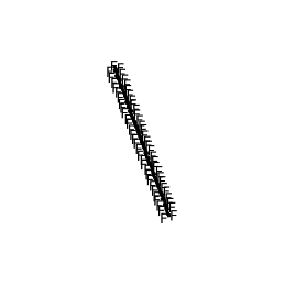 FC(F)C(F)(F)C(F)(F)C(F)(F)C(F)(F)C(F)(F)C(F)(F)C(F)(F)C(F)(F)C(F)(F)C(F)(F)C(F)(F)C(F)(F)C(F)(F)C(F)(F)C(F)(F)C(F)(F)C(F)(F)C(F)(F)C(F)(F)C(F)(F)C(F)(F)C(F)(F)C(F)(F)C(F)(F)C(F)(F)C(F)(F)C(F)(F)C(F)(F)F